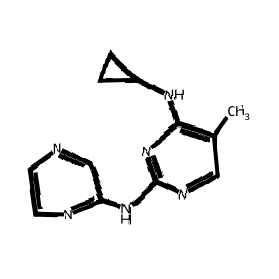 Cc1cnc(Nc2cnccn2)nc1NC1CC1